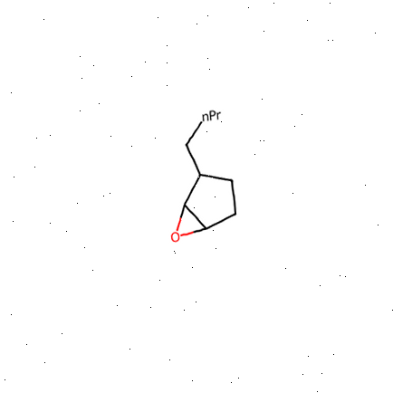 [CH2]CCCC1CCC2OC12